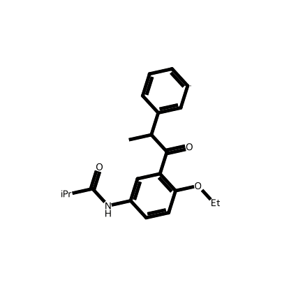 CCOc1ccc(NC(=O)C(C)C)cc1C(=O)C(C)c1c[c]ccc1